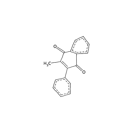 CC1=C(c2ccccc2)C(=O)c2ccccc2C1=O